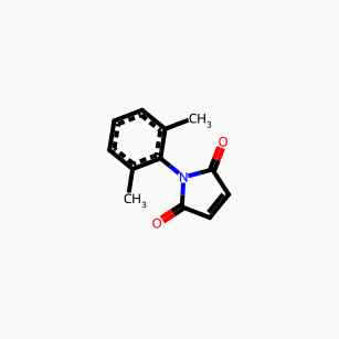 Cc1cccc(C)c1N1C(=O)C=CC1=O